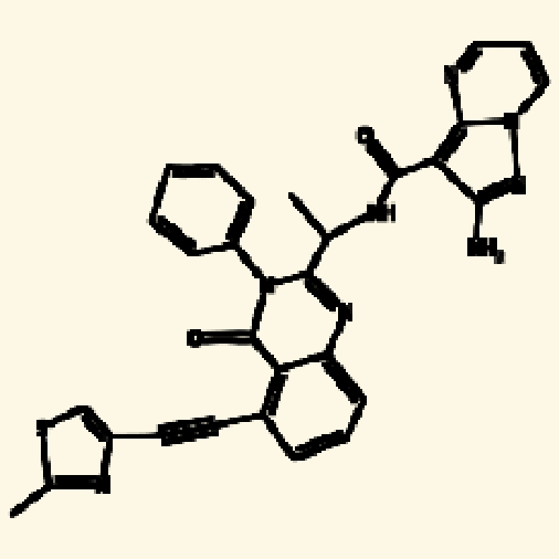 Cc1nc(C#Cc2cccc3nc(C(C)NC(=O)c4c(N)nn5cccnc45)n(-c4ccccc4)c(=O)c23)cs1